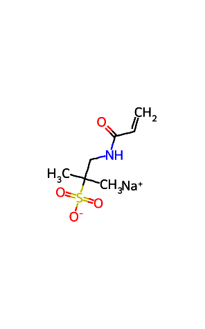 C=CC(=O)NCC(C)(C)S(=O)(=O)[O-].[Na+]